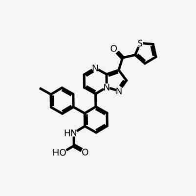 Cc1ccc(-c2c(NC(=O)O)cccc2-c2ccnc3c(C(=O)c4cccs4)cnn23)cc1